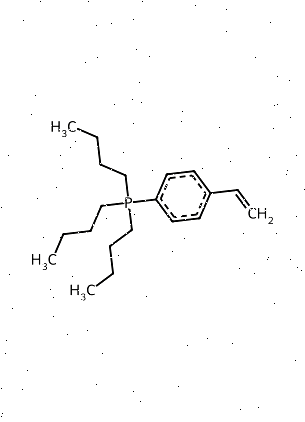 C=Cc1ccc([P](CCCC)(CCCC)CCCC)cc1